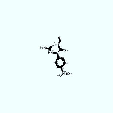 CCOC(=O)N(NC(N)=O)c1ccc([N+](=O)[O-])cc1